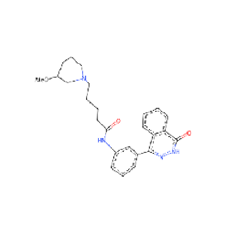 COC1CCCN(CCCCC(=O)Nc2cccc(-c3n[nH]c(=O)c4ccccc34)c2)C1